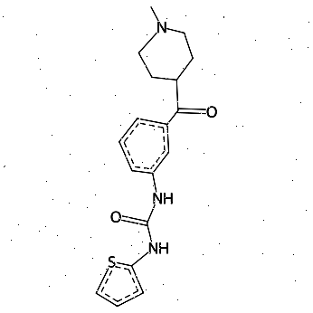 CN1CCC(C(=O)c2cccc(NC(=O)Nc3cccs3)c2)CC1